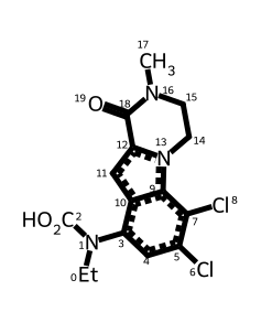 CCN(C(=O)O)c1cc(Cl)c(Cl)c2c1cc1n2CCN(C)C1=O